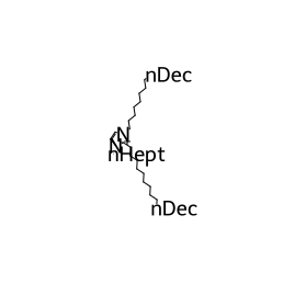 CCCCCCCCCCCCCCCCCCCc1n(CCCCCCCCCCCCCCCCCC)cc[n+]1CCCCCCC